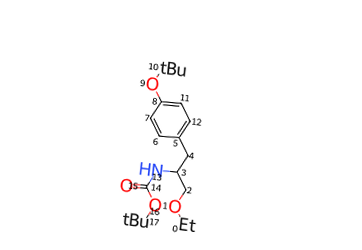 CCOCC(Cc1ccc(OC(C)(C)C)cc1)NC(=O)OC(C)(C)C